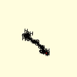 O=C(NC(c1ccccc1)c1cccc(OCCCOC(=O)c2ccc(CCNC[C@H](O)c3ccc(O)c4[nH]c(=O)ccc34)cc2)c1)O[C@H]1CN2CCC1CC2